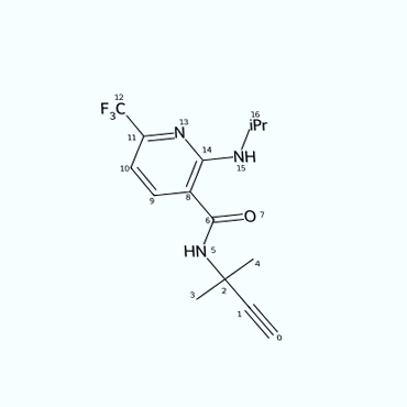 C#CC(C)(C)NC(=O)c1ccc(C(F)(F)F)nc1NC(C)C